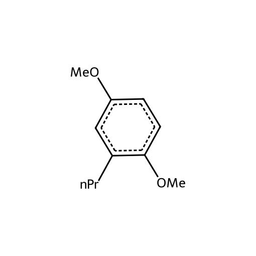 [CH2]CCc1cc(OC)ccc1OC